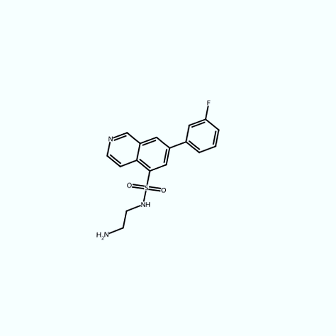 NCCNS(=O)(=O)c1cc(-c2cccc(F)c2)cc2cnccc12